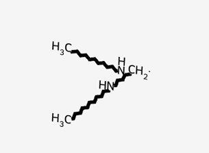 [CH2]CC(CCCNCCCCCCCCCCCC)NCCCCCCCCCCCC